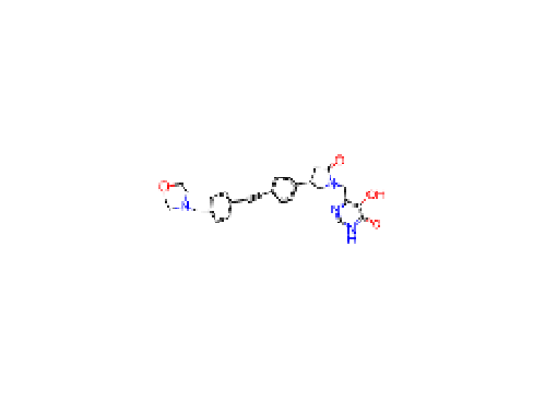 O=C1CC(c2ccc(C#Cc3ccc(CN4CCOCC4)cc3)cc2)CN1Cc1nc[nH]c(=O)c1O